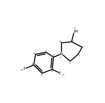 CC(C)C1CCCN(c2ccc(F)cc2F)C1